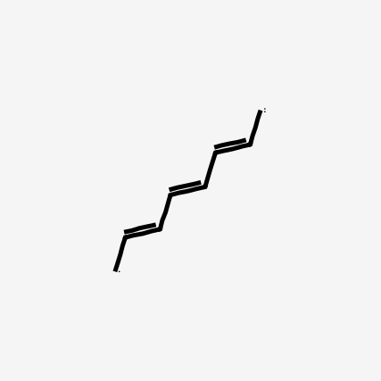 [CH]/C=C/C=C/C=C/[CH2]